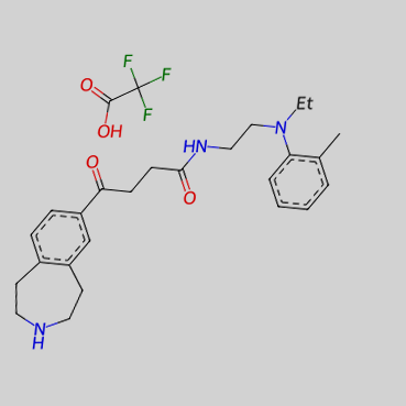 CCN(CCNC(=O)CCC(=O)c1ccc2c(c1)CCNCC2)c1ccccc1C.O=C(O)C(F)(F)F